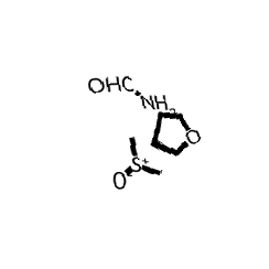 C1CCOC1.C[S+](C)[O-].NC=O